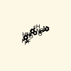 O=C(N[C@H]1CCc2c(C(=O)Nc3ccc(F)c(C(F)F)c3)ccc(F)c21)OCc1ccccn1